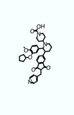 COc1ccc(C2C(c3ccc4c(c3)C(=O)C(Cc3ccncc3)C4=O)CCCN2C2CCN(C(=O)O)CC2)cc1OC1CCCC1